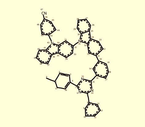 CC1C=CC(c2nc(-c3ccccc3)nc(-c3cccc(-c4ccc5c6ccccc6n(-c6ccc7c8ccccc8n(-c8ccc(C#N)cc8)c7c6)c5c4)c3)n2)=CC1